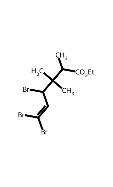 CCOC(=O)C(C)C(C)(C)C(Br)C=C(Br)Br